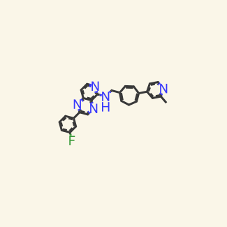 Cc1cc(C2=CCC=C(CNc3nccc4nc(-c5cccc(F)c5)cnc34)C=C2)ccn1